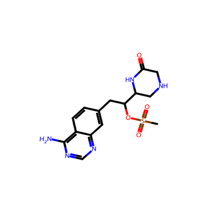 CS(=O)(=O)OC(Cc1ccc2c(N)ncnc2c1)C1CNCC(=O)N1